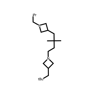 CC(C)CN1CC(CC(C)(C)CCN2CC(CC(C)(C)C)C2)C1